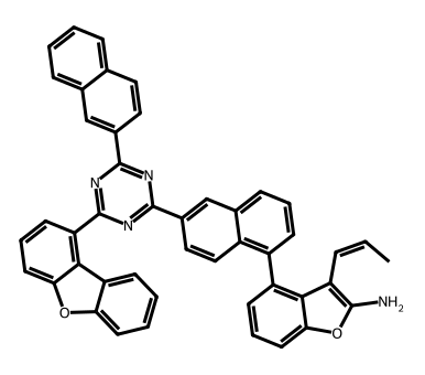 C/C=C\c1c(N)oc2cccc(-c3cccc4cc(-c5nc(-c6ccc7ccccc7c6)nc(-c6cccc7oc8ccccc8c67)n5)ccc34)c12